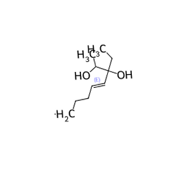 [CH2]CC/C=C/C(O)(CC)C(C)O